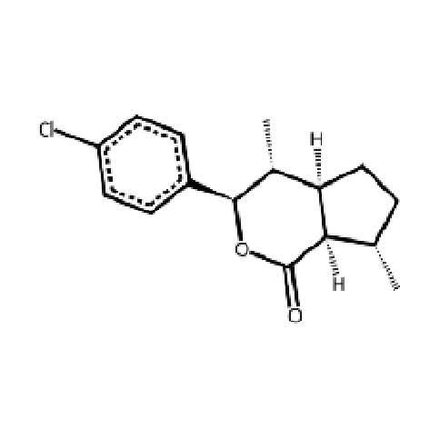 C[C@@H]1[C@H]2CC[C@H](C)[C@H]2C(=O)O[C@H]1c1ccc(Cl)cc1